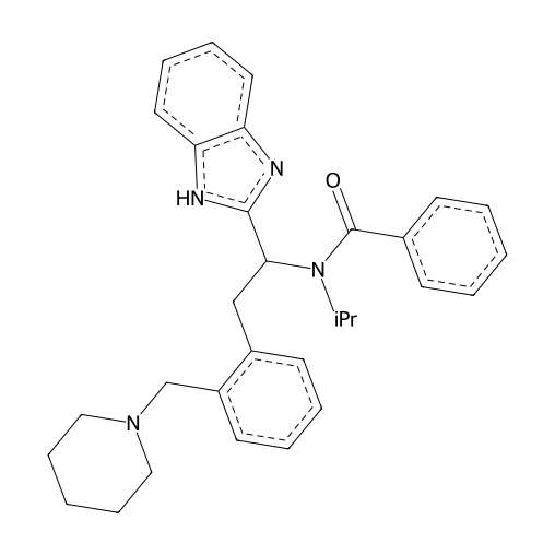 CC(C)N(C(=O)c1ccccc1)C(Cc1ccccc1CN1CCCCC1)c1nc2ccccc2[nH]1